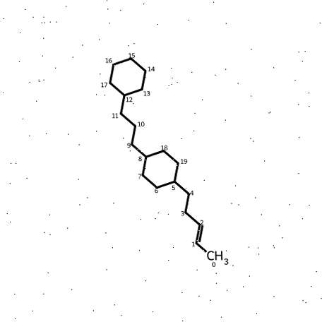 C/C=C/CCC1CCC(CCCC2CCCCC2)CC1